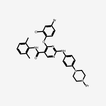 Cc1cccc(C)c1NC(=O)c1cnc(Nc2ccc(N3CCN(C(C)C)CC3)cc2)nc1Oc1ccc(Br)cc1Cl